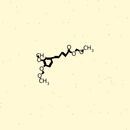 COCOC(=O)C=CC=Cc1ccc(OCOC)c(OC)c1